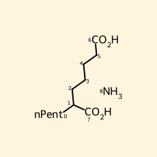 CCCCCC(CCCCC(=O)O)C(=O)O.N